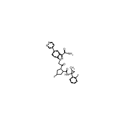 CC1CC1(NC(=O)C1CC(F)CN1C(=O)Cn1nc(C(N)=O)c2cc(-c3ccnnc3)ccc21)c1ccccc1F